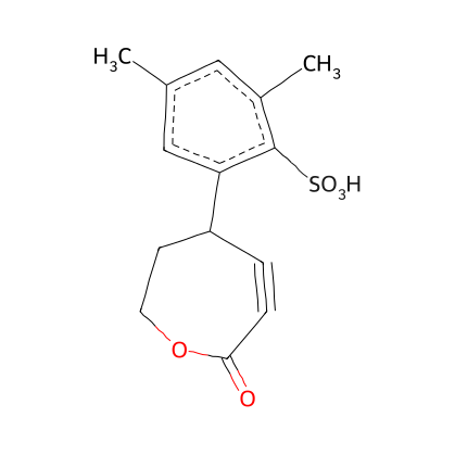 Cc1cc(C)c(S(=O)(=O)O)c(C2C#CC(=O)OCC2)c1